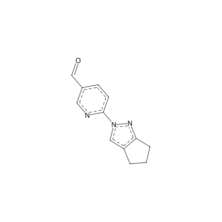 O=Cc1ccc(-n2cc3c(n2)CCC3)nc1